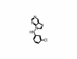 Clc1cccc(Nn2cnc3cncnc32)c1